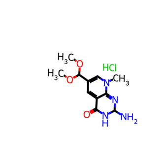 COC(OC)C1=CN(C)C2=NC(N)NC(=O)C2=C1.Cl